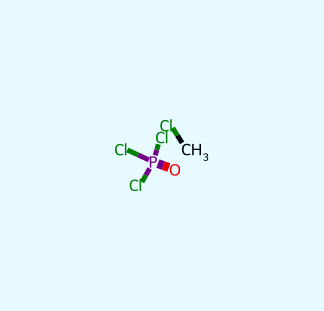 CCl.O=P(Cl)(Cl)Cl